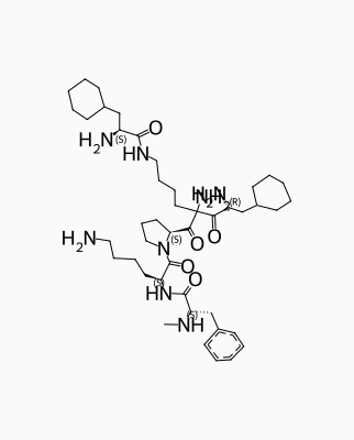 CN[C@@H](Cc1ccccc1)C(=O)N[C@@H](CCCCN)C(=O)N1CCC[C@H]1C(=O)C(N)(CCCCNC(=O)[C@@H](N)CC1CCCCC1)C(=O)[C@H](N)CC1CCCCC1